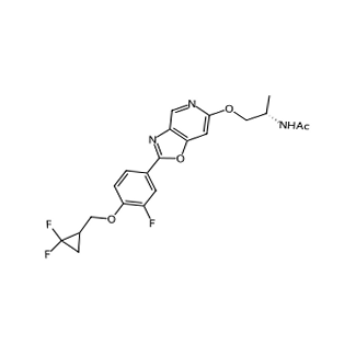 CC(=O)N[C@@H](C)COc1cc2oc(-c3ccc(OCC4CC4(F)F)c(F)c3)nc2cn1